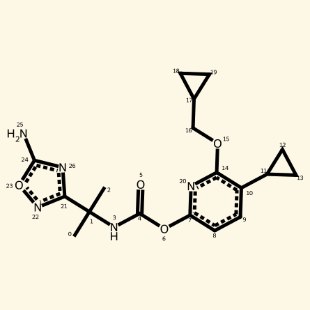 CC(C)(NC(=O)Oc1ccc(C2CC2)c(OCC2CC2)n1)c1noc(N)n1